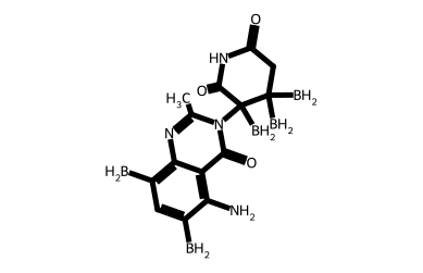 Bc1cc(B)c2nc(C)n(C3(B)C(=O)NC(=O)CC3(B)B)c(=O)c2c1N